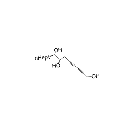 CCCCCCC[C@@H](O)[C@H](O)CC#CC#CCO